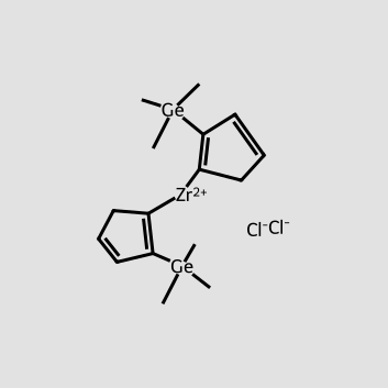 [CH3][Ge]([CH3])([CH3])[C]1=[C]([Zr+2][C]2=[C]([Ge]([CH3])([CH3])[CH3])C=CC2)CC=C1.[Cl-].[Cl-]